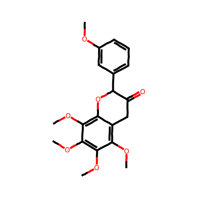 COc1cccc(C2Oc3c(c(OC)c(OC)c(OC)c3OC)CC2=O)c1